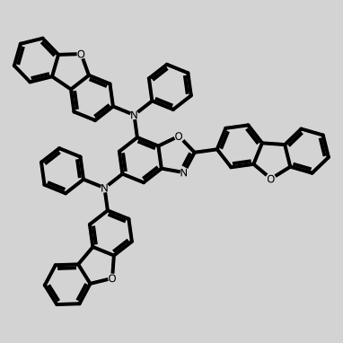 c1ccc(N(c2cc(N(c3ccccc3)c3ccc4c(c3)oc3ccccc34)c3oc(-c4ccc5c(c4)oc4ccccc45)nc3c2)c2ccc3oc4ccccc4c3c2)cc1